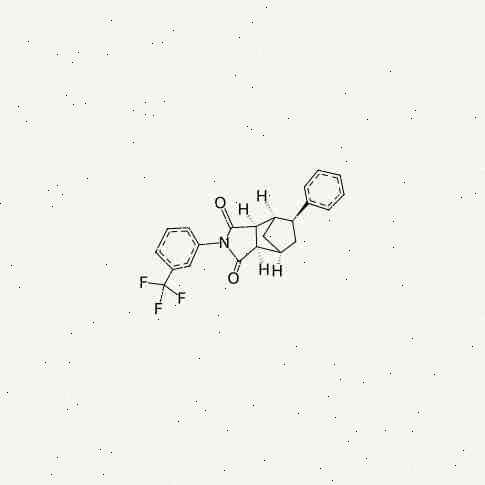 O=C1[C@@H]2[C@H]3C[C@@H]([C@@H]2C(=O)N1c1cccc(C(F)(F)F)c1)[C@@H](c1ccccc1)C3